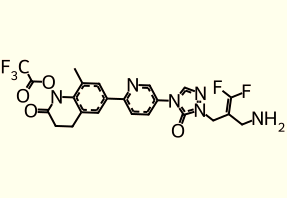 Cc1cc(-c2ccc(-n3cnn(CC(CN)=C(F)F)c3=O)cn2)cc2c1N(OC(=O)C(F)(F)F)C(=O)CC2